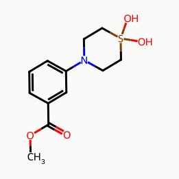 COC(=O)c1cccc(N2CCS(O)(O)CC2)c1